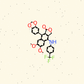 COc1cc2c(Nc3ccc(C(F)(F)F)cc3)c3c(c(-c4ccc5c(c4)OCO5)c2cc1OC)C(=O)OC3